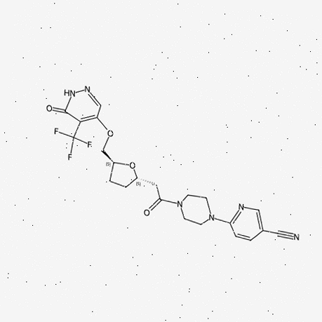 N#Cc1ccc(N2CCN(C(=O)C[C@@H]3CC[C@@H](COc4cn[nH]c(=O)c4C(F)(F)F)O3)CC2)nc1